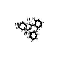 Nc1cccc(F)c1CC[C@H]1CNCCN1S(=O)(=O)c1ccccc1